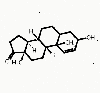 C[C@]12C=CC(O)CC1CC[C@@H]1[C@H]2CC[C@]2(C)C(=O)CC[C@@H]12